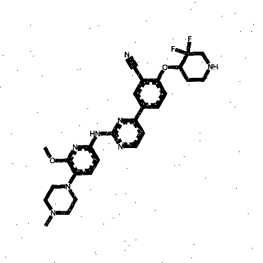 COc1nc(Nc2nccc(-c3ccc(OC4CCNCC4(F)F)c(C#N)c3)n2)ccc1N1CCN(C)CC1